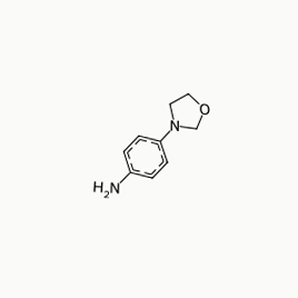 Nc1ccc(N2CCOC2)cc1